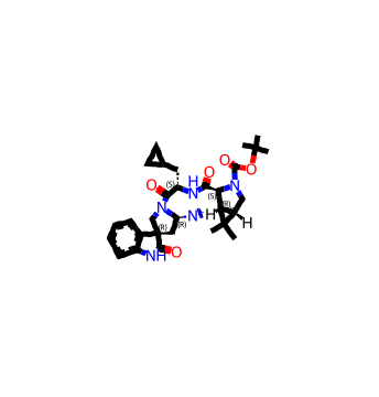 C#[N+][C@@H]1C[C@@]2(CN1C(=O)[C@H](CC1CC1)NC(=O)[C@@H]1[C@@H]3[C@H](CN1C(=O)OC(C)(C)C)C3(C)C)C(=O)Nc1ccccc12